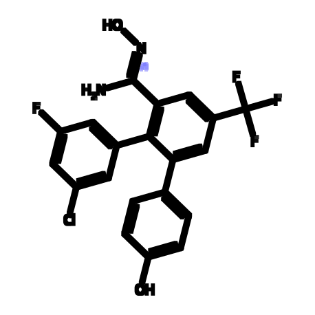 N/C(=N\O)c1cc(C(F)(F)F)cc(-c2ccc(O)cc2)c1-c1cc(F)cc(Cl)c1